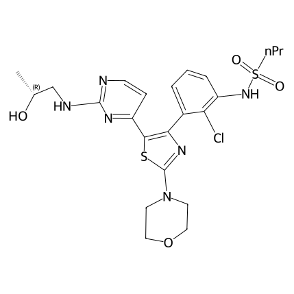 CCCS(=O)(=O)Nc1cccc(-c2nc(N3CCOCC3)sc2-c2ccnc(NC[C@@H](C)O)n2)c1Cl